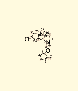 Fc1ccccc1OCCN1CCC2(CC1)CCN2c1ccc(Cl)cc1